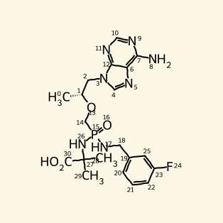 C[C@H](Cn1cnc2c(N)ncnc21)OCP(=O)(NCc1cccc(F)c1)NC(C)(C)C(=O)O